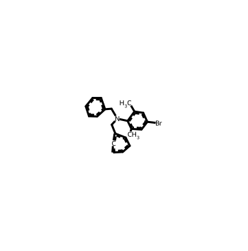 Cc1cc(Br)cc(C)c1N(Cc1ccccc1)Cc1ccccc1